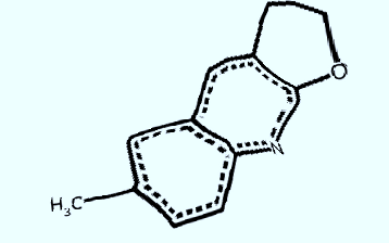 Cc1ccc2nc3c(cc2c1)CCO3